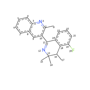 Cc1nc2ccccc2cc1C1=NC(C)(C)C(C)c2c(F)cccc21